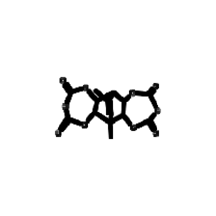 CC1=CC2(C)C3OC(=O)OC(=O)OC3C1C1OC(=O)OC(=O)OC12